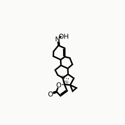 C[C@]12CCC3C4CCC(=NO)C=C4CCC3C1CC1(CC1)[C@@]21C=CC(=O)O1